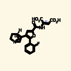 O=C(O)/C=C(/NC(=O)c1cc(C2CN3CC[C@@H]2C3)c(-c2ccccc2F)o1)C(=O)O